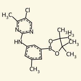 Cc1cc(Nc2ncc(Cl)c(C)n2)cc(B2OC(C)(C)C(C)(C)O2)c1